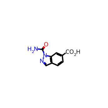 NC(=O)n1ncc2ccc(C(=O)O)cc21